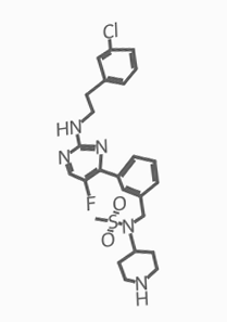 CS(=O)(=O)N(Cc1cccc(-c2nc(NCCc3cccc(Cl)c3)ncc2F)c1)C1CCNCC1